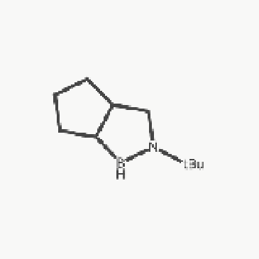 CC(C)(C)N1BC2CCCC2C1